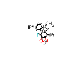 CC(C)c1ccc(C(C)Cc2cc(F)c3c(c2C(C)C)OCO3)cc1